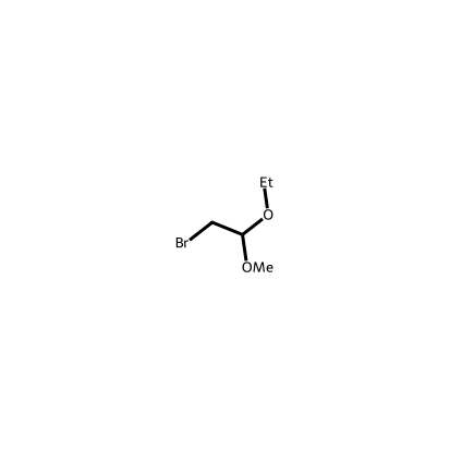 CCOC(CBr)OC